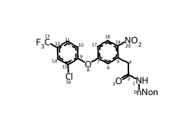 CCCCCCCCCNC(=O)Cc1cc(Oc2ccc(C(F)(F)F)cc2Cl)ccc1[N+](=O)[O-]